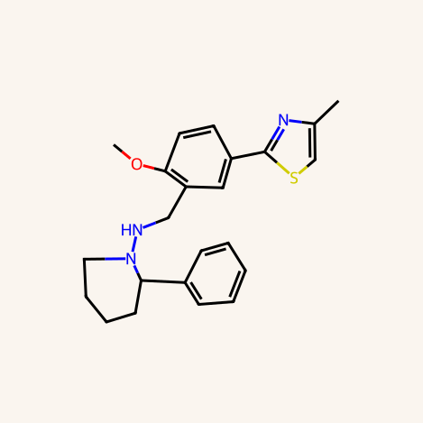 COc1ccc(-c2nc(C)cs2)cc1CNN1CCCCC1c1ccccc1